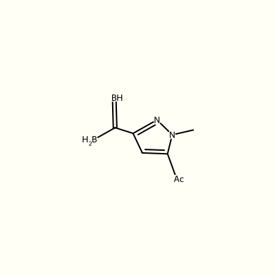 B=C(B)c1cc(C(C)=O)n(C)n1